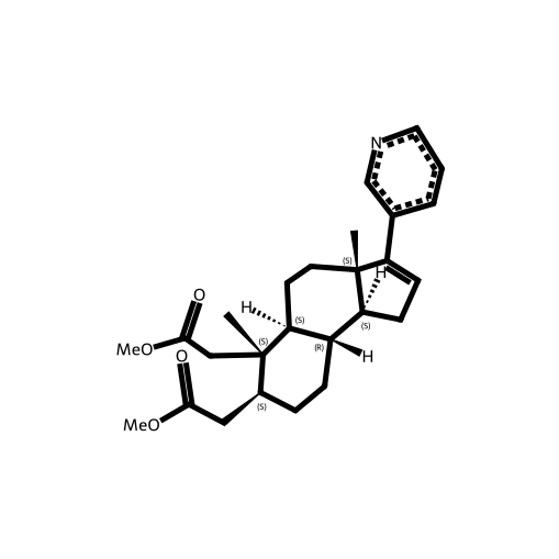 COC(=O)C[C@@H]1CC[C@@H]2[C@H](CC[C@]3(C)C(c4cccnc4)=CC[C@@H]23)[C@@]1(C)CC(=O)OC